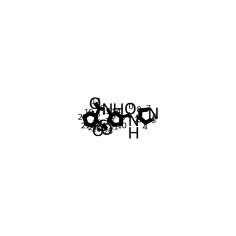 O=C(Nc1ccncc1)c1ccc2c(c1)NC(=O)c1ccccc1S2(=O)=O